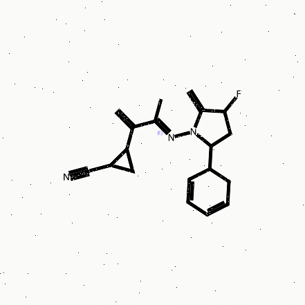 C=C(/C(C)=N/N1C(=C)C(F)CC1C1C=CC=CC1)C1CC1C#N